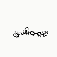 N#CC1(c2ccc(-c3ccc(N4CC(COc5ccon5)OC4=O)cc3)cn2)CC1